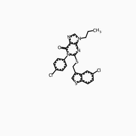 CCCn1cnc2c(=O)n(-c3ccc(Cl)cc3)c(SCc3csc4ccc(Cl)cc34)nc21